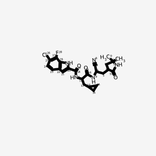 CC1(C)CC(CC(C#N)NC(=O)C(CC2CC2)NC(=O)c2cc3ccc(Cl)c(F)c3[nH]2)C(=O)N1